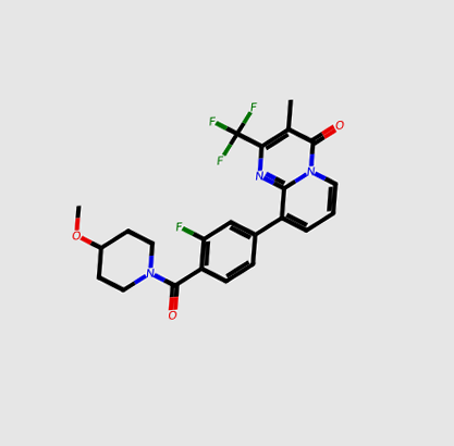 COC1CCN(C(=O)c2ccc(-c3cccn4c(=O)c(C)c(C(F)(F)F)nc34)cc2F)CC1